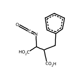 O=C=NC(C(=O)O)C(Cc1ccccc1)C(=O)O